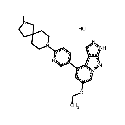 CCOc1cc(-c2ccc(N3CCC4(CCNC4)CC3)nc2)c2c3cn[nH]c3nn2c1.Cl